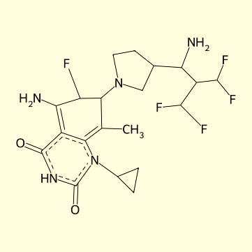 CC1=c2c(c(=O)[nH]c(=O)n2C2CC2)=C(N)C(F)C1N1CCC(C(N)C(C(F)F)C(F)F)C1